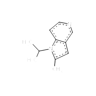 Cc1cc2cnccc2n1C(C)C